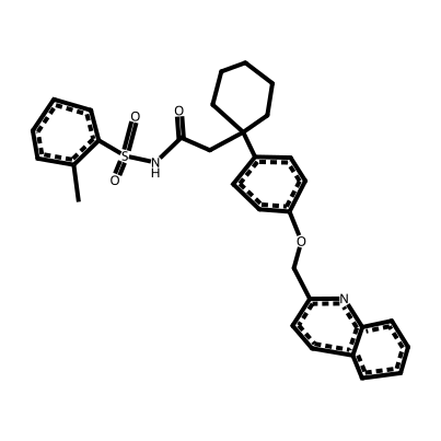 Cc1ccccc1S(=O)(=O)NC(=O)CC1(c2ccc(OCc3ccc4ccccc4n3)cc2)CCCCC1